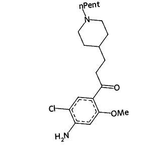 CCCCCN1CCC(CCC(=O)c2cc(Cl)c(N)cc2OC)CC1